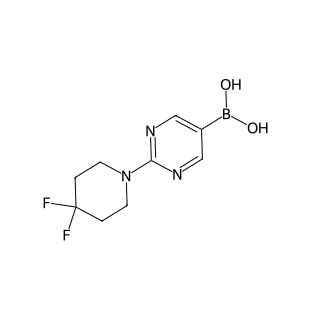 OB(O)c1cnc(N2CCC(F)(F)CC2)nc1